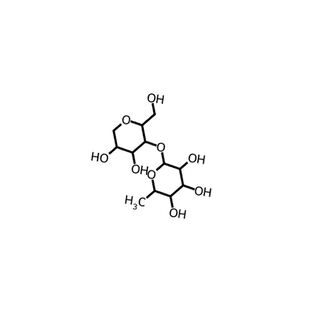 CC1OC(OC2C(CO)OCC(O)C2O)C(O)C(O)C1O